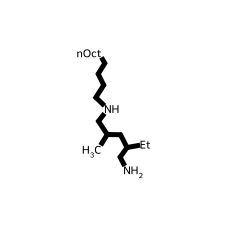 CCCCCCCCCCCCNCC(C)CC(CC)CN